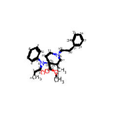 CCC(=O)N(c1ccccc1)[C@@]1(C(=O)OC)CCN(CCc2ccccc2)C[C@H]1C